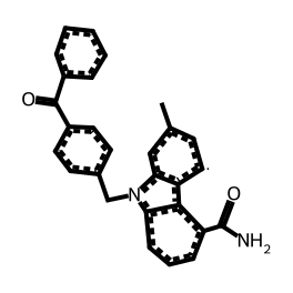 Cc1c[c]c2c3c(C(N)=O)cccc3n(Cc3ccc(C(=O)c4ccccc4)cc3)c2c1